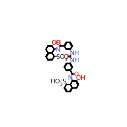 O=C(Nc1cccc(C(=O)N=C2C(O)=CCC3=CC=CC(S(=O)(=O)O)C32)c1)Nc1cccc(C(=O)N=C2C(O)=CCC3=CC=CC(S(=O)(=O)O)C32)c1